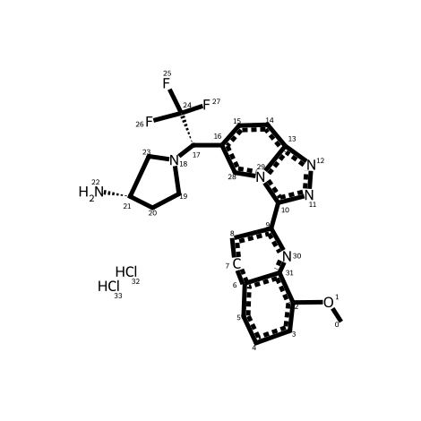 COc1cccc2ccc(-c3nnc4ccc([C@H](N5CC[C@H](N)C5)C(F)(F)F)cn34)nc12.Cl.Cl